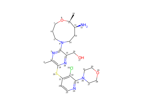 Cc1nc(N2CCCO[C@@H](C)[C@@H](N)CC2)c(CO)nc1Sc1ccnc(N2CCOCC2)c1Cl